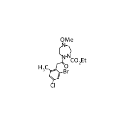 CCOC(=O)N1CCN(OC)CCN1C(=O)Cc1c(C)cc(Cl)cc1Br